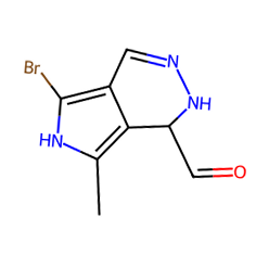 Cc1[nH]c(Br)c2c1C(C=O)NN=C2